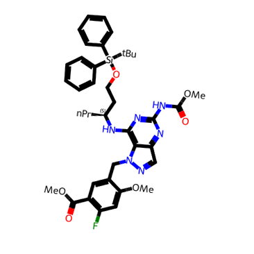 CCC[C@@H](CCO[Si](c1ccccc1)(c1ccccc1)C(C)(C)C)Nc1nc(NC(=O)OC)nc2cnn(Cc3cc(C(=O)OC)c(F)cc3OC)c12